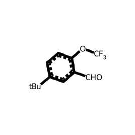 CC(C)(C)c1ccc(OC(F)(F)F)c(C=O)c1